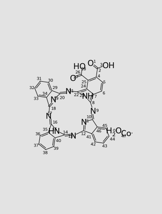 O.O=C(O)c1ccc2c3nc4nc(nc5[nH]c(nc6nc(nc([nH]3)c2c1C(=O)O)-c1ccccc1-6)c1ccccc51)-c1ccccc1-4.[Co]